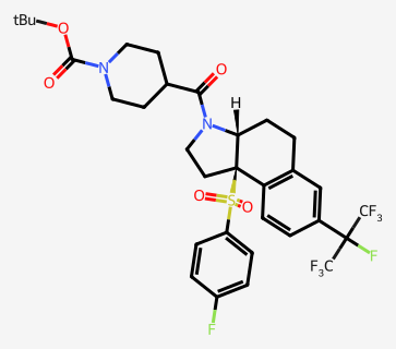 CC(C)(C)OC(=O)N1CCC(C(=O)N2CC[C@@]3(S(=O)(=O)c4ccc(F)cc4)c4ccc(C(F)(C(F)(F)F)C(F)(F)F)cc4CC[C@@H]23)CC1